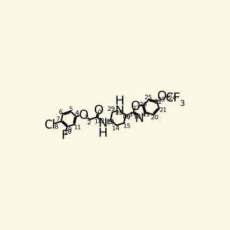 O=C(COc1ccc(Cl)c(F)c1)N[C@H]1CC[C@H](c2nc3ccc(OC(F)(F)F)cc3o2)NC1